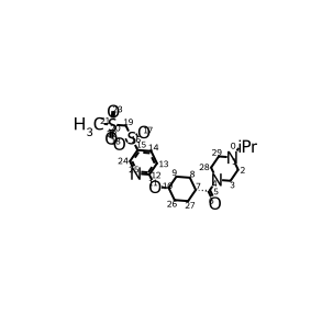 CC(C)N1CCN(C(=O)[C@H]2CC[C@H](Oc3ccc(S(=O)(=O)CS(C)(=O)=O)cn3)CC2)CC1